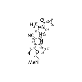 CNCCOC(CI)c1cc(C#N)c(N2CCN(C(=O)C3CC3)[C@H](C)C2)nc1C1CC1